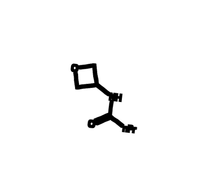 CCCC(=O)NC1COC1